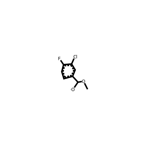 COC([O])c1ccc(F)c(Cl)c1